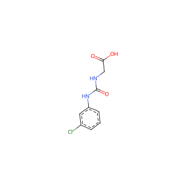 O=C(O)CNC(=O)Nc1cccc(Cl)c1